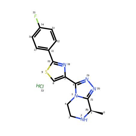 C[C@H]1NCCn2c(-c3csc(-c4ccc(F)cc4)n3)nnc21.Cl